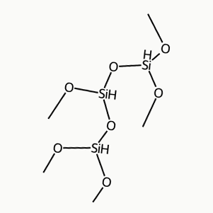 CO[SiH](OC)O[SiH](OC)O[SiH](OC)OC